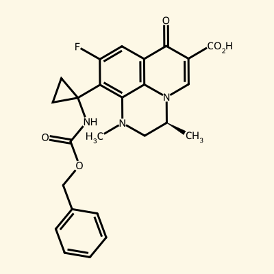 C[C@H]1CN(C)c2c(C3(NC(=O)OCc4ccccc4)CC3)c(F)cc3c(=O)c(C(=O)O)cn1c23